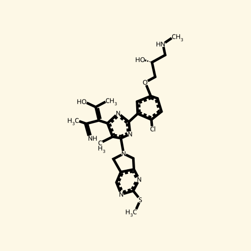 CNC[C@@H](O)COc1ccc(Cl)c(-c2nc(/C(C(C)=N)=C(\C)O)c(C)c(N3Cc4cnc(SC)nc4C3)n2)c1